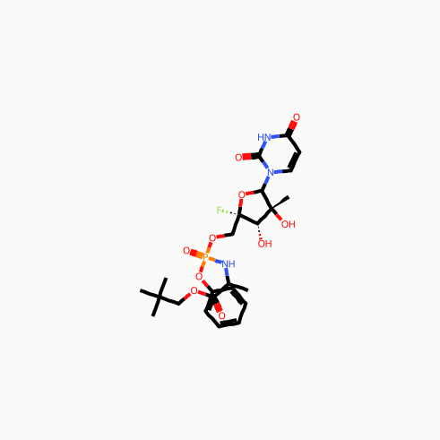 CC(NP(=O)(OC[C@@]1(F)OC(n2ccc(=O)[nH]c2=O)[C@](C)(O)[C@@H]1O)Oc1ccccc1)C(=O)OCC(C)(C)C